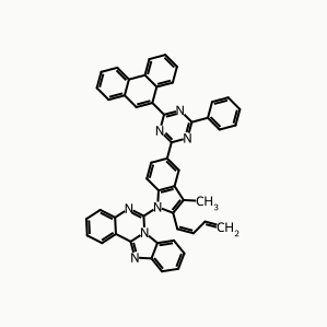 C=C/C=C\c1c(C)c2cc(-c3nc(-c4ccccc4)nc(-c4cc5ccccc5c5ccccc45)n3)ccc2n1-c1nc2ccccc2c2nc3ccccc3n12